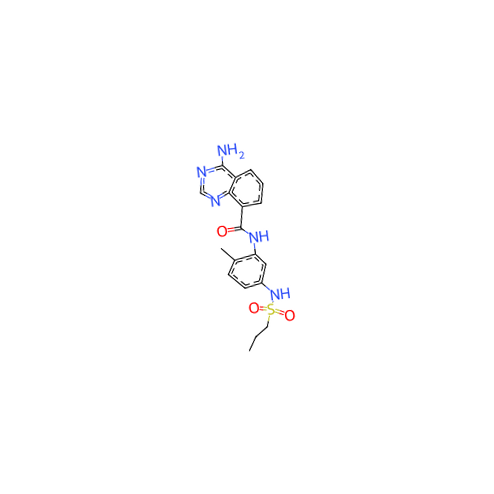 CCCS(=O)(=O)Nc1ccc(C)c(NC(=O)c2cccc3c(N)ncnc23)c1